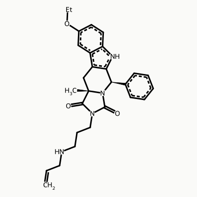 C=CCNCCCN1C(=O)N2[C@H](c3ccccc3)c3[nH]c4ccc(OCC)cc4c3C[C@@]2(C)C1=O